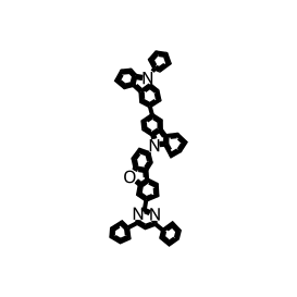 c1ccc(-c2cc(-c3ccccc3)nc(-c3ccc4c(c3)oc3ccc(-n5c6ccccc6c6cc(-c7ccc8c(c7)c7ccccc7n8-c7ccccc7)ccc65)cc34)n2)cc1